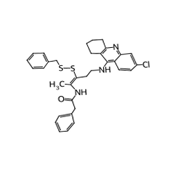 CC(NC(=O)Cc1ccccc1)=C(CCNc1c2c(nc3cc(Cl)ccc13)CCCC2)SSCc1ccccc1